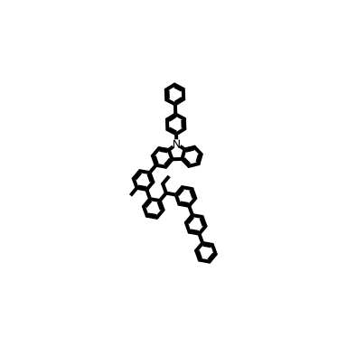 CCC(c1cccc(-c2ccc(-c3ccccc3)cc2)c1)c1ccccc1-c1cc(-c2ccc3c(c2)c2ccccc2n3-c2ccc(-c3ccccc3)cc2)ccc1C